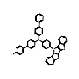 Fc1ccc(-c2ccc(N(c3ccc(-c4ccccc4)cc3)c3ccc(N4c5c(sc6ccccc56)C5Sc6ccccc6C54)cc3)cc2)cc1